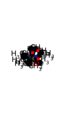 Cc1cc2c3cc1N1c4cc5c(cc4B4c6cc7c(cc6N(c6ccc8c(c6)C(C)(C)CCC8(C)C)c6cc(cc1c64)N1c4cc(ccc4C4(C)CCCCC14C)C3(C)CCC2(C)C)C(C)(C)CCC7(C)C)oc1ccccc15